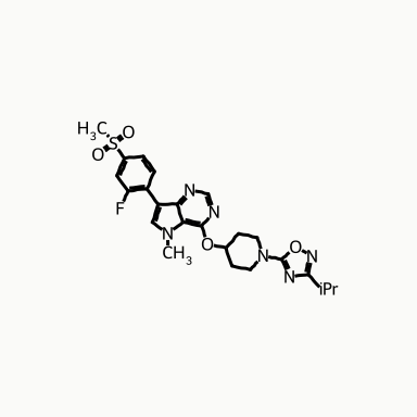 CC(C)c1noc(N2CCC(Oc3ncnc4c(-c5ccc(S(C)(=O)=O)cc5F)cn(C)c34)CC2)n1